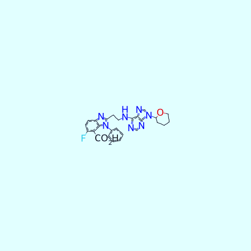 O=C(O)c1c(F)ccc2nc(CCNc3ncnc4c3ncn4C3CCCCO3)n(-c3ccccc3)c12